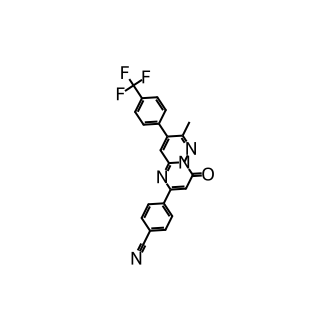 Cc1nn2c(=O)cc(-c3ccc(C#N)cc3)nc2cc1-c1ccc(C(F)(F)F)cc1